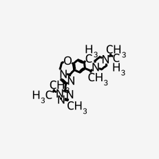 Cc1nc(-c2cn3c(n2)-c2cc(C(C)N4CCN(C(C)C)CC4)c(C)cc2OCC3)n(C(C)C)n1